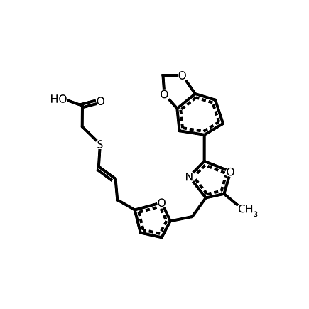 Cc1oc(-c2ccc3c(c2)OCO3)nc1Cc1ccc(CC=CSCC(=O)O)o1